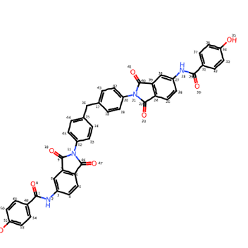 O=C(Nc1ccc2c(c1)C(=O)N(c1ccc(Cc3ccc(N4C(=O)c5ccc(NC(=O)c6ccc(O)cc6)cc5C4=O)cc3)cc1)C2=O)c1ccc(O)cc1